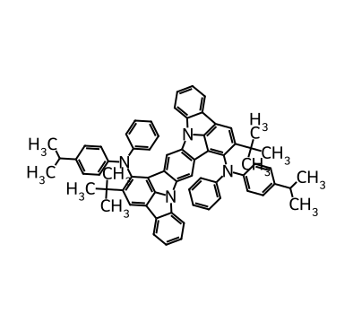 CC(C)c1ccc(N(c2ccccc2)c2c(C(C)(C)C)cc3c4ccccc4n4c5cc6c7c(N(c8ccccc8)c8ccc(C(C)C)cc8)c(C(C)(C)C)cc8c9ccccc9n(c6cc5c2c34)c87)cc1